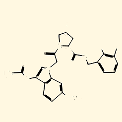 COc1ccc2c(OC(N)=O)cn(CC(=O)N3C[C@H](F)C[C@H]3C(=O)NCc3cccc(Cl)c3F)c2c1